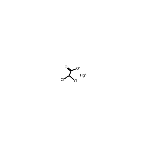 O=C([O-])C(Cl)Cl.[Hg+]